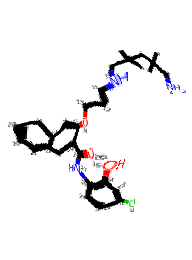 CC(C)(CN)CC(C)(C)CNCCCOc1cc2ccccc2cc1C(=O)Nc1ccc(Cl)cc1O